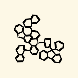 c1ccc(C2(c3cccc(N(c4ccc(-c5cccc6ccccc56)cc4)c4cccc(-c5cccc6ccccc56)c4-c4ccc5c(c4)sc4ccccc45)c3)c3ccccc3-c3ccccc32)cc1